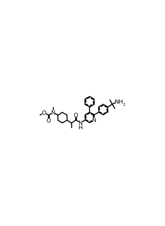 COC(=O)N(C)C1CCC(C(C)C(=O)Nc2cnc(-c3ccc(C(C)(C)N)cc3)c(-c3ccccc3)c2)CC1